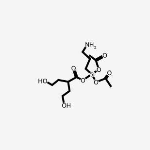 CC(=O)O[Si](CCCN)(OC(C)=O)OC(=O)C(CCO)CCO